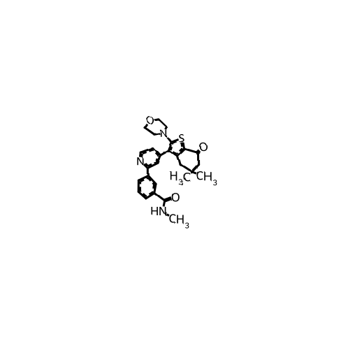 CNC(=O)c1cccc(-c2cc(-c3c(N4CCOCC4)sc4c3CC(C)(C)CC4=O)ccn2)c1